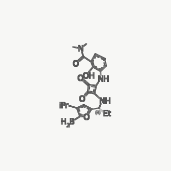 Bc1oc([C@@H](CC)Nc2c(Nc3cccc(C(=O)N(C)C)c3O)c(=O)c2=O)cc1C(C)C